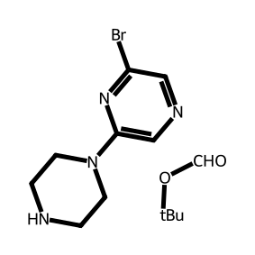 Brc1cncc(N2CCNCC2)n1.CC(C)(C)OC=O